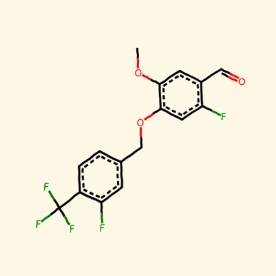 COc1cc(C=O)c(F)cc1OCc1ccc(C(F)(F)F)c(F)c1